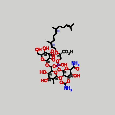 CC(C)=CCC/C(C)=C/CC/C(C)=C\CO[C@@H](COP(=O)(O)O[C@H]1OC(C(N)=O)[C@H](O)[C@H](OC(N)=O)C1O[C@@H]1OC(CO[C@@H]2OC(CO)[C@@H](O)[C@H](O)C2O)[C@@H](O)[C@H](O)C1C)C(=O)O